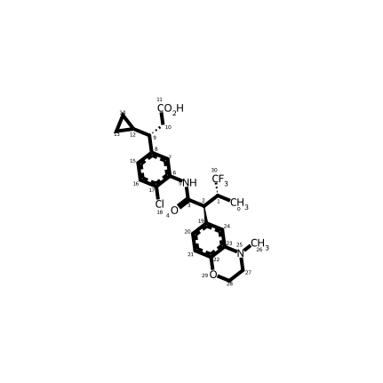 C[C@H]([C@H](C(=O)Nc1cc([C@@H](CC(=O)O)C2CC2)ccc1Cl)c1ccc2c(c1)N(C)CCO2)C(F)(F)F